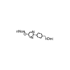 CCCCCCCCCCCc1ccc(-c2ncc(OCCCCCCCCC)cn2)cc1